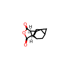 O=C1OC(=O)[C@@H]2C3C=CC4(CC4C3)C[C@H]12